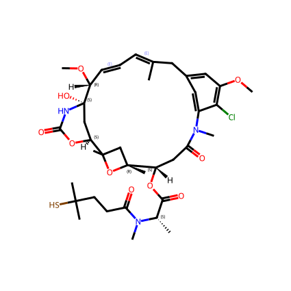 COc1cc2cc(c1Cl)N(C)C(=O)C[C@H](OC(=O)[C@H](C)N(C)C(=O)CCC(C)(C)S)[C@@]1(C)CC(C)(O1)[C@@H]1C[C@@](O)(NC(=O)O1)[C@H](OC)/C=C/C=C(\C)C2